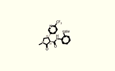 CSc1ccccc1NC(=O)[C@H]1C(=O)N(C)C[C@@H]1c1ccc(C(F)(F)F)nc1